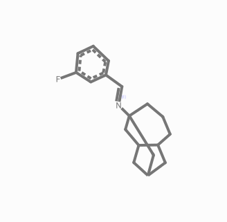 Fc1cccc(/C=N/C23CCCC4CC(CC4C2)C3)c1